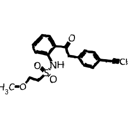 C#Cc1ccc(CC(=O)c2ccccc2NS(=O)(=O)CCOC)cc1